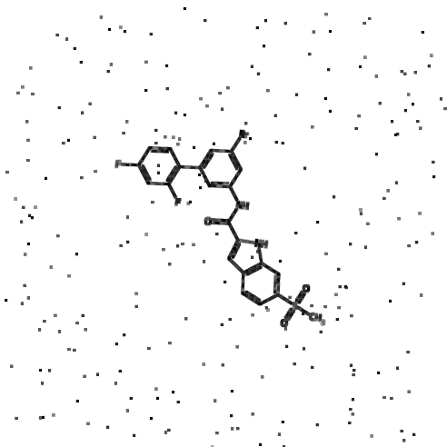 CS(=O)(=O)c1ccc2cc(C(=O)Nc3cc(Br)cc(-c4ccc(F)cc4F)c3)[nH]c2c1